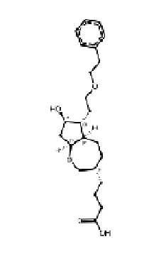 O=C(O)CCC[C@H]1CC[C@@H]2[C@@H](CCOCCc3ccccc3)[C@H](O)C[C@@H]2OC1